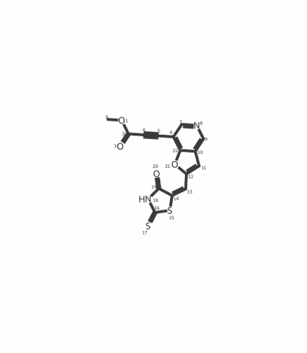 COC(=O)C#Cc1cncc2cc(C=C3SC(=S)NC3=O)oc12